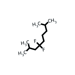 CC(C)CCCC(F)(F)CC(C)C